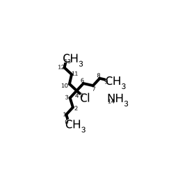 CCCCC(Cl)(CCCC)CCCC.N